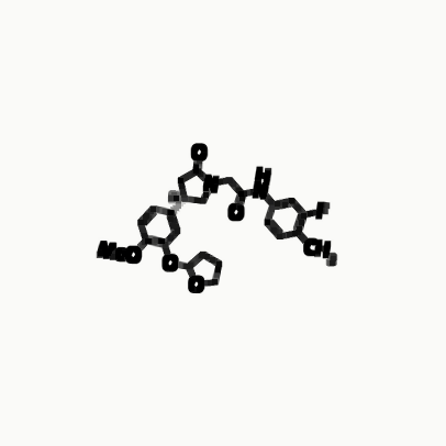 COc1ccc([C@@H]2CC(=O)N(CC(=O)Nc3ccc(C)c(F)c3)C2)cc1OC1CCCO1